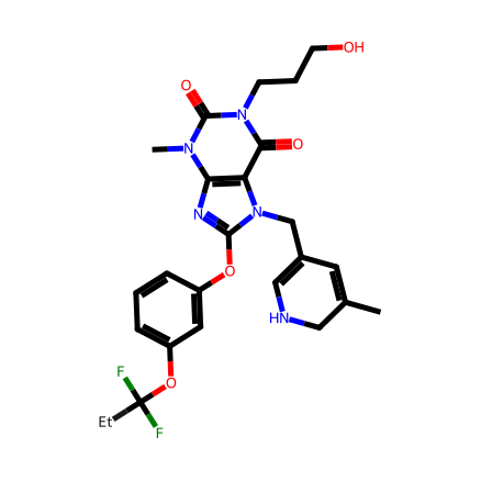 CCC(F)(F)Oc1cccc(Oc2nc3c(c(=O)n(CCCO)c(=O)n3C)n2CC2=CNCC(C)=C2)c1